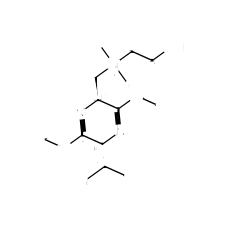 COC1=N[C@H](C(C)C)C(OC)=N[C@H]1C[Si](C)(C)CCO